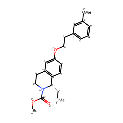 COC[C@H]1c2ccc(OCCc3cccc(OC)c3)cc2CCN1C(=O)OC(C)(C)C